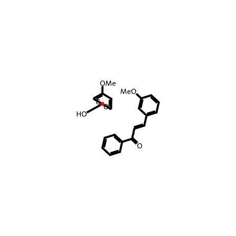 COc1cc2cc(O)c1CO2.COc1cccc(C=CC(=O)c2ccccc2)c1